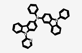 c1ccc(N(c2ccc3c(c2)c2ccccc2n3-c2ccccc2)c2ccc3c(c2)c2ccccc2n3-c2ccccn2)cc1